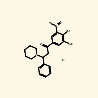 Cl.O=C(CC(c1ccccc1)N1CCCCC1)c1cc(O)c(O)c([N+](=O)[O-])c1